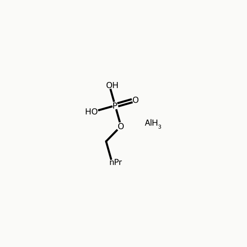 CCCCOP(=O)(O)O.[AlH3]